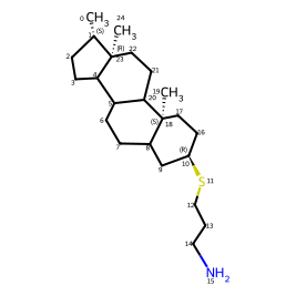 C[C@H]1CCC2C3CCC4C[C@H](SCCCN)CC[C@]4(C)C3CC[C@@]21C